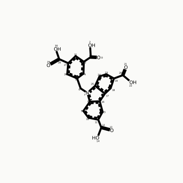 O=C(O)c1cc(Cn2c3ccc(C(=O)O)cc3c3cc(C(=O)O)ccc32)cc(C(=O)O)c1